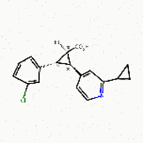 CC[C@@]1(C(=O)O)[C@@H](c2cccc(Cl)c2)[C@@H]1c1ccnc(C2CC2)c1